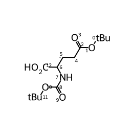 CC(C)(C)OC(=O)C[CH]C(NC(=O)OC(C)(C)C)C(=O)O